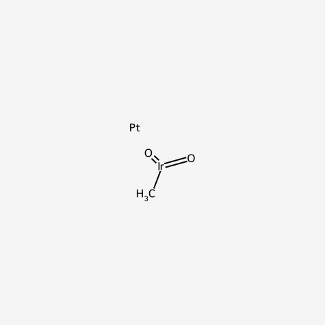 [CH3][Ir](=[O])=[O].[Pt]